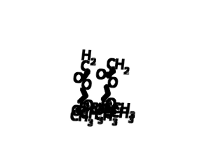 C=CC(=O)OCCC[Si](C)(OC)OC.C=CC(=O)OCCC[Si](OC)(OC)OC